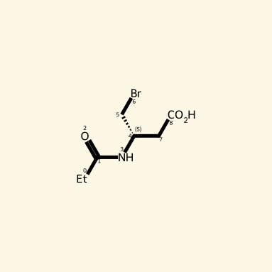 CCC(=O)N[C@H](CBr)CC(=O)O